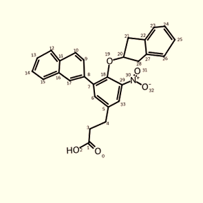 O=C(O)CCc1cc(-c2ccc3ccccc3c2)c(OC2Cc3ccccc3C2)c([N+](=O)[O-])c1